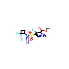 CCOC(=O)c1c(F)c(S(=O)(=O)NC2CCC2(F)F)cn1C